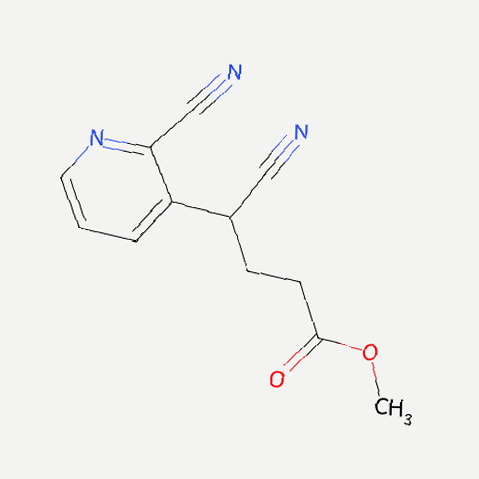 COC(=O)CCC(C#N)c1cccnc1C#N